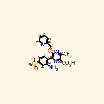 CS(=O)(=O)c1ccc(-c2nc(C(=O)O)c(C(F)(F)F)nc2OCc2ccccn2)c(N)c1